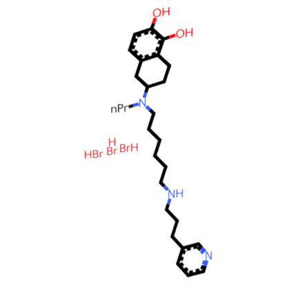 Br.Br.Br.CCCN(CCCCCCNCCCc1cccnc1)C1CCc2c(ccc(O)c2O)C1